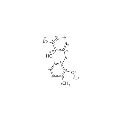 [2H]Oc1c(C)cccc1Cc1cccc(CC)c1O